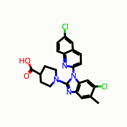 Cc1cc2nc(N3CCC(C(=O)O)CC3)n(-c3ccc4cc(Cl)ccc4n3)c2cc1Cl